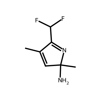 CC1=CC(C)(N)N=C1C(F)F